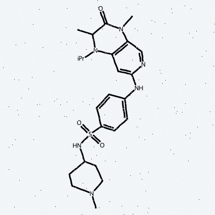 CC(C)N1c2cc(Nc3ccc(S(=O)(=O)NC4CCN(C)CC4)cc3)ncc2N(C)C(=O)C1C